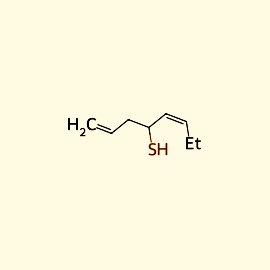 C=CCC(S)/C=C\CC